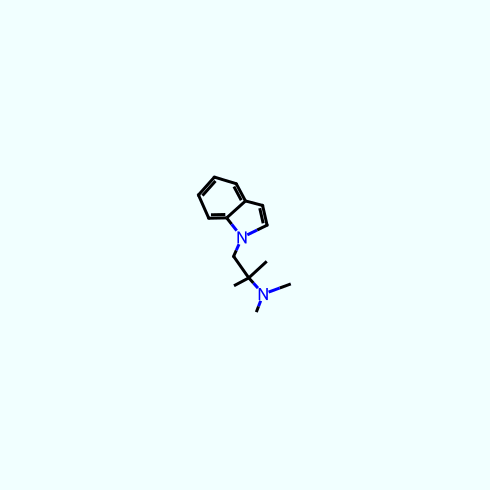 CN(C)C(C)(C)Cn1ccc2ccccc21